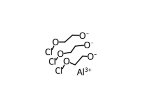 [Al+3].[O-]CCOCl.[O-]CCOCl.[O-]CCOCl